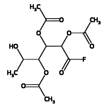 CC(=O)OC(C(=O)F)C(OC(C)=O)C(OC(C)=O)C(C)O